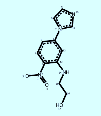 O=[N+]([O-])c1ccc(-n2ccnc2)cc1NCCO